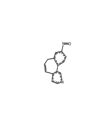 O=Nc1ccc2c(c1)CC=Cc1ccncc1-2